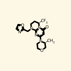 C[C@@H]1COCCN1c1cc(=O)n2c(n1)N(Cc1ncco1)CC[C@@H]2C(F)(F)F